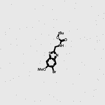 COc1cc2sc(CNC(=O)OC(C)(C)C)nc2cc1Br